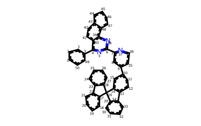 c1ccc(-c2nc(-c3cc(-c4ccc5c(c4)C4(c6ccccc6-c6ccccc64)c4ccccc4-5)ccn3)nc3c2ccc2ccccc23)cc1